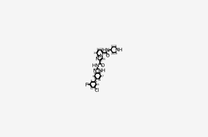 O=C(Nc1nc2cc(-c3cc(F)cc(Cl)c3)ccc2[nH]1)c1cn2c(C(=O)NC3CCNCC3)cccc2n1